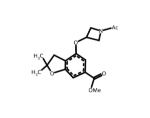 COC(=O)c1cc(OC2CN(C(C)=O)C2)c2c(c1)OC(C)(C)C2